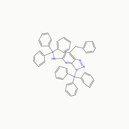 c1ccc(Cc2cc(NC(c3ccccc3)(c3ccccc3)c3ccccc3)nc3c2nnn3C(c2ccccc2)(c2ccccc2)c2ccccc2)cc1